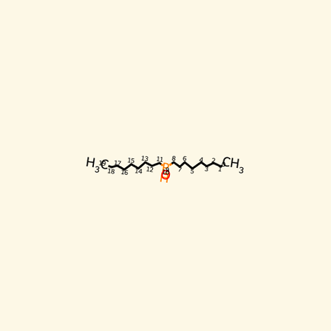 CCCCCCCCC[PH](=O)CCCCCCCCC